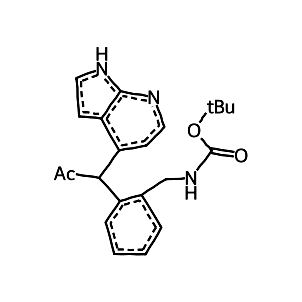 CC(=O)C(c1ccccc1CNC(=O)OC(C)(C)C)c1ccnc2[nH]ccc12